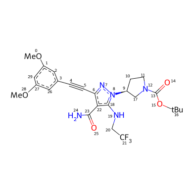 COc1cc(C#Cc2nn([C@H]3CCN(C(=O)OC(C)(C)C)C3)c(NCC(F)(F)F)c2C(N)=O)cc(OC)c1